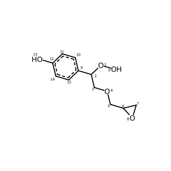 OOC(COCC1CO1)c1ccc(O)cc1